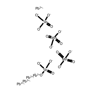 [O]=[Mn](=[O])([O-])[O-].[O]=[Mn](=[O])([O-])[O-].[O]=[Sb]([O-])([O-])[O-].[O]=[Sb]([O-])([O-])[O-].[Pb+2].[Pb+2].[Pb+2].[Pb+2].[Pb+2]